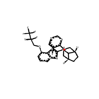 Fc1cncnc1N1C[C@H]2CC[C@@H](C1)C2Nc1nc2c(OCC(F)(F)C(F)(F)F)cccn2n1